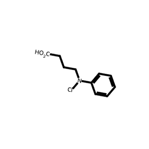 O=C(O)CCCN(Cl)c1ccccc1